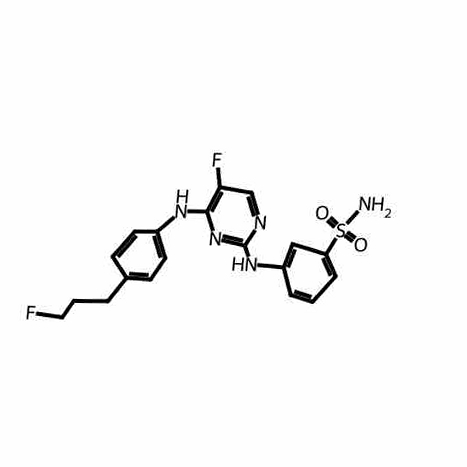 NS(=O)(=O)c1cccc(Nc2ncc(F)c(Nc3ccc(CCCF)cc3)n2)c1